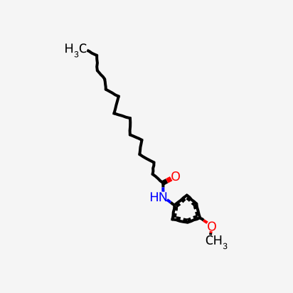 CCCCCCCCCCCCCC(=O)Nc1ccc(OC)cc1